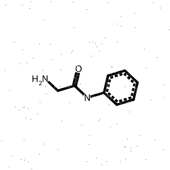 NCC(=O)[N]c1ccccc1